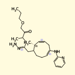 CCCOCC(=O)C(C)C/C(CC1CC/C=C(/Nc2ccccn2)C/C=C\[C@H]1C)=N\N